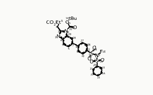 CCOC(=O)Cc1nc2ccc(-c3ccc(S(=O)(=O)N(F)S(=O)(=O)c4ccccc4)cc3)cc2n1C(=O)OC(C)(C)C